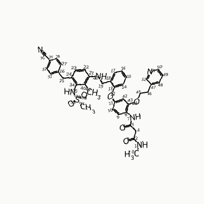 CNC(=O)CC(=O)Nc1ccc(Oc2ccccc2CNc2ccc(Cc3ccc(C#N)cc3)c(NS(C)(=O)=O)c2C)cc1OCCc1cccnc1